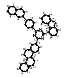 c1ccc2cc(-c3ccc(-c4nc(-c5ccc6c(ccc7c8ccccc8ccc67)c5)nc(-c5cccc6sc7ccccc7c56)n4)cc3)ccc2c1